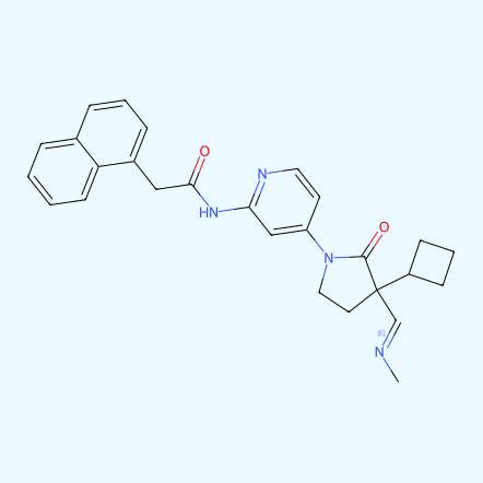 C/N=C/C1(C2CCC2)CCN(c2ccnc(NC(=O)Cc3cccc4ccccc34)c2)C1=O